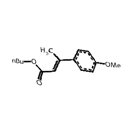 CCCCOC(=O)C=C(C)c1ccc(OC)cc1